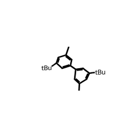 Cc1cc(-c2cc(C)cc(C(C)(C)C)c2)cc(C(C)(C)C)c1